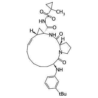 CC(C)(C)c1cccc(N[C@H]2CCCCC/C=C\[C@@H]3C[C@@]3(C(=O)NS(=O)(=O)C3(C)CC3)NC(=O)[C@@H]3CCCN3C2=O)c1